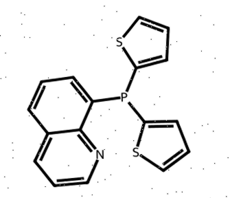 c1csc(P(c2cccs2)c2cccc3cccnc23)c1